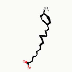 Cc1ccc(CCCCCCCCCCCC(=O)O)cc1